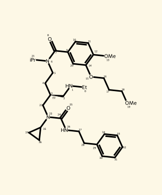 CCNC[C@H](CCN(C(=O)c1ccc(OC)c(OCCCOC)c1)C(C)C)CN(C(=O)NCCc1ccccc1)C1CC1